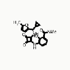 CNC(=O)c1cccc(Nc2c(N[C@@H](c3ccc(C)o3)C3CC3)c(=O)c2=O)c1O